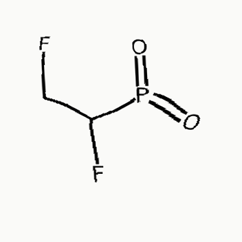 O=P(=O)C(F)CF